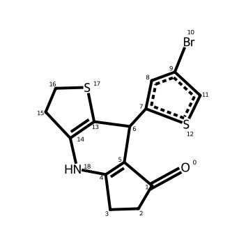 O=C1CCC2=C1C(c1cc(Br)cs1)C1=C(CCS1)N2